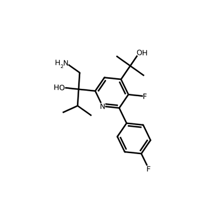 CC(C)C(O)(CN)c1cc(C(C)(C)O)c(F)c(-c2ccc(F)cc2)n1